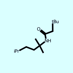 CC(C)CCC(C)(C)NC(=O)CC(C)(C)C